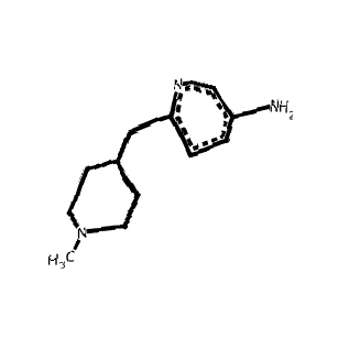 CN1CCC(Cc2ccc(N)cn2)CC1